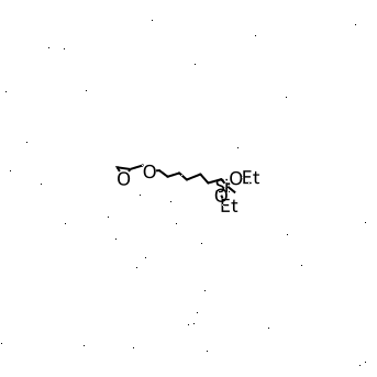 CCO[Si](C)(CCCCCCCOCC1CO1)OCC